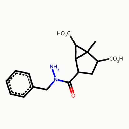 CC12C(C(=O)O)CC(C(=O)N(N)Cc3ccccc3)C1C2C(=O)O